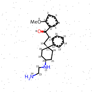 COc1ccccc1C(=O)CC[C@]1(c2ccccc2)CC[C@H](NCCN)CC1